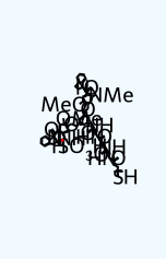 CNc1cc(OCc2cc(COc3cc4c(cc3OC)C(=O)N3c5ccccc5C[C@H]3C(S(=O)(=O)O)N4)cc(NC(=O)CNC(=O)CNC(=O)CNC(=O)CCC(C)(C)S)c2)c(OC)cc1C(=O)N1CCc2ccccc21